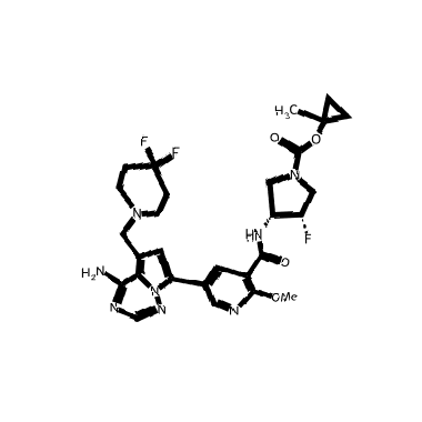 COc1ncc(-c2cc(CN3CCC(F)(F)CC3)c3c(N)ncnn23)cc1C(=O)N[C@@H]1CN(C(=O)OC2(C)CC2)C[C@@H]1F